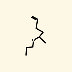 C=CCCC(C)OCCC